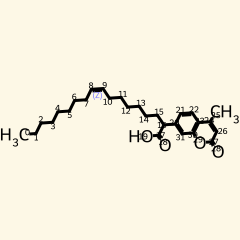 CCCCCCCC/C=C\CCCCCCC(C(=O)O)c1ccc2c(C)cc(=O)oc2c1